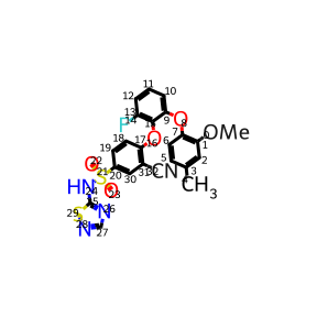 COc1cc(C)ccc1Oc1cccc(F)c1Oc1ccc(S(=O)(=O)Nc2ncns2)cc1C#N